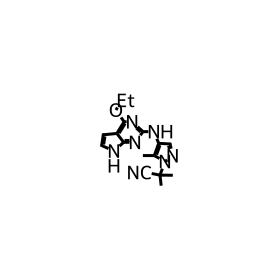 CCOc1nc(Nc2cnn(C(C)(C)C#N)c2C)nc2[nH]ccc12